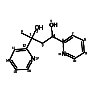 CC(O)(CC(O)c1ccccn1)c1ccccn1